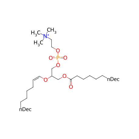 CCCCCCCCCCCCCC/C=C\OC(COC(=O)CCCCCCCCCCCCCCC)COP(=O)([O-])OCC[N+](C)(C)C